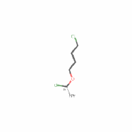 CCC[C@H](Cl)OCCCCCl